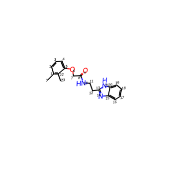 Cc1cccc(OCC(=O)NCCc2nc3ccccc3[nH]2)c1C